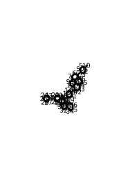 Cc1ccc(-c2ccc3ccc4c(-c5ccc(-n6c7ccc(-c8ccccc8)cc7c7ccc8ccccc8c76)cc5)ccc5ccc2c3c54)cc1